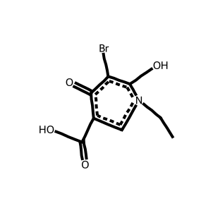 CCn1cc(C(=O)O)c(=O)c(Br)c1O